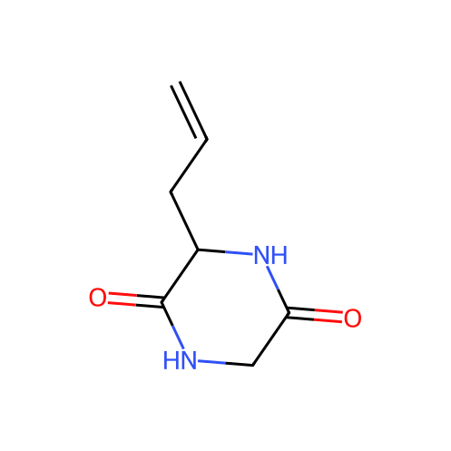 C=CCC1NC(=O)CNC1=O